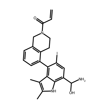 C=CC(=O)N1CCc2c(cccc2-c2c(I)cc(C(N)O)c3[nH]c(C)c(C)c23)C1